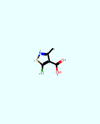 Cc1nsc(Cl)c1C(=O)O